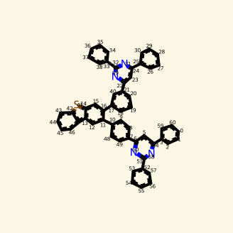 c1ccc(-c2cc(-c3ccc(-c4cc5c(cc4-c4cccc(-c6cc(-c7ccccc7)nc(-c7ccccc7)n6)c4)sc4ccccc45)cc3)nc(-c3ccccc3)n2)cc1